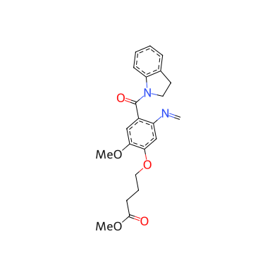 C=Nc1cc(OCCCC(=O)OC)c(OC)cc1C(=O)N1CCc2ccccc21